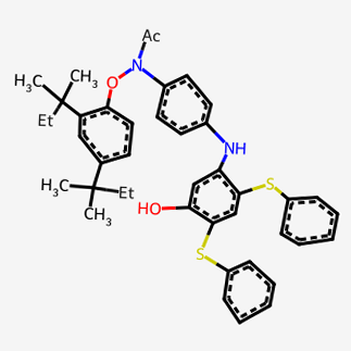 CCC(C)(C)c1ccc(ON(C(C)=O)c2ccc(Nc3cc(O)c(Sc4ccccc4)cc3Sc3ccccc3)cc2)c(C(C)(C)CC)c1